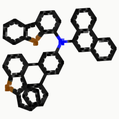 c1ccc(-c2ccc(N(c3cc4ccccc4c4ccccc34)c3cccc4c3sc3ccccc34)cc2-c2cccc3sc4ccccc4c23)cc1